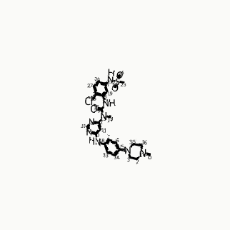 CN1CCN(c2ccc(Nc3cc(N(C)C(=O)Nc4cc(NS(C)(=O)=O)ccc4Cl)ncn3)cc2)CC1